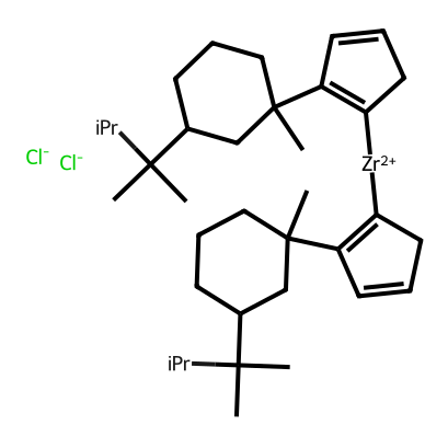 CC(C)C(C)(C)C1CCCC(C)(C2=[C]([Zr+2][C]3=C(C4(C)CCCC(C(C)(C)C(C)C)C4)C=CC3)CC=C2)C1.[Cl-].[Cl-]